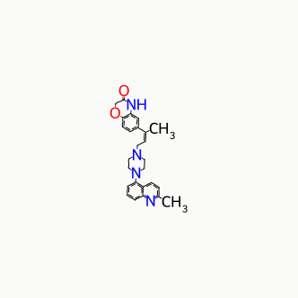 CC(=CCN1CCN(c2cccc3nc(C)ccc23)CC1)c1ccc2c(c1)NC(=O)CO2